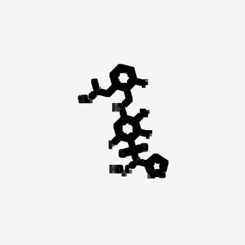 CN(Cc1cccc(F)c1CNc1cc(F)c(S(=O)(=O)N(C(=O)O)c2ccsn2)c(F)c1Br)C(C)(C)C